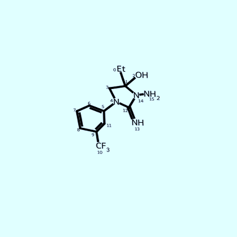 CCC1(O)CN(c2cccc(C(F)(F)F)c2)C(=N)N1N